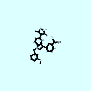 COc1cccc(Cn2cc(-c3cccc(C(=O)O)c3)c3nc(-c4c(C)noc4C)ccc32)c1